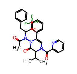 CC(=O)N(C(Cc1ccccc1)C(=O)C(F)(F)F)N1C(=O)C(C(C)C)N(C(=O)c2ccccn2)C=C1c1ccccc1